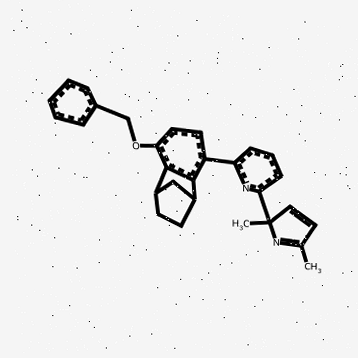 CC1=NC(C)(c2cccc(-c3ccc(OCc4ccccc4)c4c3C3CCC4C3)n2)C=C1